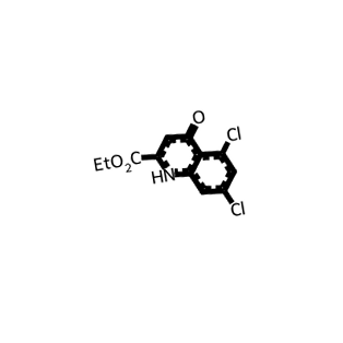 CCOC(=O)c1cc(=O)c2c(Cl)cc(Cl)cc2[nH]1